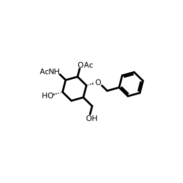 CC(=O)NC1C(OC(C)=O)[C@H](OCc2ccccc2)C(CO)C[C@@H]1O